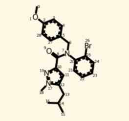 COc1ccc(CN(C(=O)c2cc(CC(C)C)n(C)n2)c2ccccc2Br)cc1